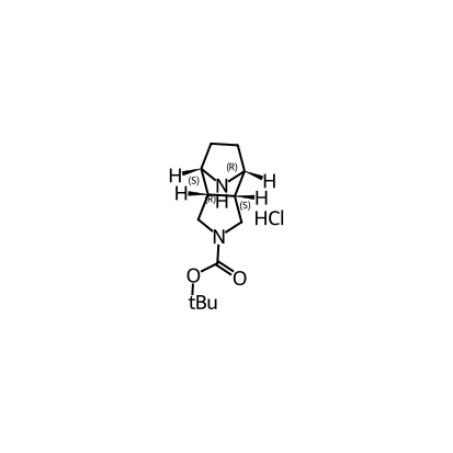 CC(C)(C)OC(=O)N1C[C@@H]2[C@H](C1)[C@@H]1CC[C@H]2N1.Cl